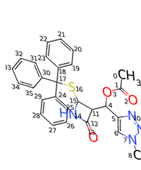 CC(=O)OC(c1cn(C)nn1)C1C(=O)NC1SC(c1ccccc1)(c1ccccc1)c1ccccc1